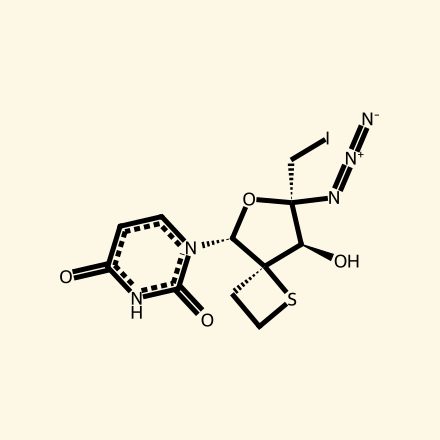 [N-]=[N+]=N[C@]1(CI)O[C@@H](n2ccc(=O)[nH]c2=O)[C@@]2(CCS2)[C@@H]1O